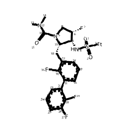 CCS(=O)(=O)N[C@H]1[C@@H](F)CN(C(=O)N(C)C)[C@H]1Cc1cccc(-c2cccc(F)c2F)c1F